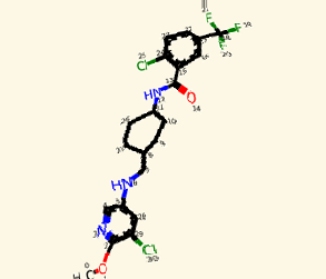 COc1ncc(NCC2CCC(NC(=O)c3cc(C(F)(F)F)ccc3Cl)CC2)cc1Cl